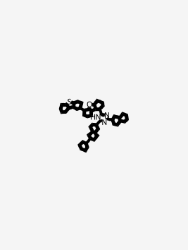 c1ccc(-c2ccc3cc(C4N=C(c5ccc6ccccc6c5)N=C(c5cccc6oc7c(-c8ccc9sc%10ccccc%10c9c8)cccc7c56)N4)ccc3c2)cc1